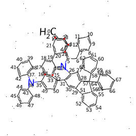 C=C/C=C\C=C(/Cc1ccccc1)N(c1ccccc1-c1ccccc1)c1cc2c(cc1-c1ccc(N(c3ccccc3)c3ccccc3)cc1)-c1ccccc1C2(c1ccccc1)c1ccccc1